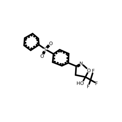 O=S(=O)(c1ccccc1)c1ccc(C2=NOC(O)(C(F)(F)F)C2)cc1